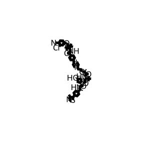 Cc1ncsc1-c1ccc([C@H](C)NC(=O)[C@@H]2C[C@@H](O)CN2C(=O)[C@@H](NC(=O)[C@H](C)OCCN2CCN(c3ccc(C(=O)NC4C(C)(C)C(Oc5ccc(C#N)c(Cl)c5)C4(C)C)cc3)CC2)C(C)(C)C)cc1